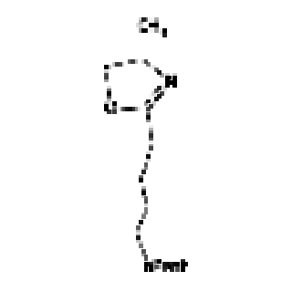 CCCCCCCCCC1=NC(C)CO1